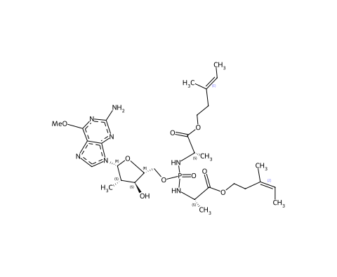 C/C=C(/C)CCOC(=O)[C@H](C)NP(=O)(N[C@@H](C)C(=O)OCC/C(C)=C/C)OC[C@H]1O[C@@H](n2cnc3c(OC)nc(N)nc32)[C@@H](C)[C@@H]1O